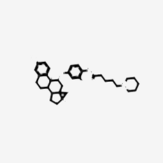 O=C(CCCCN1CCCCC1)Nc1ccc(O[C@H]2CC34C[C@H]3CCC4C3CCc4cc(O)ccc4[C@H]32)cc1F